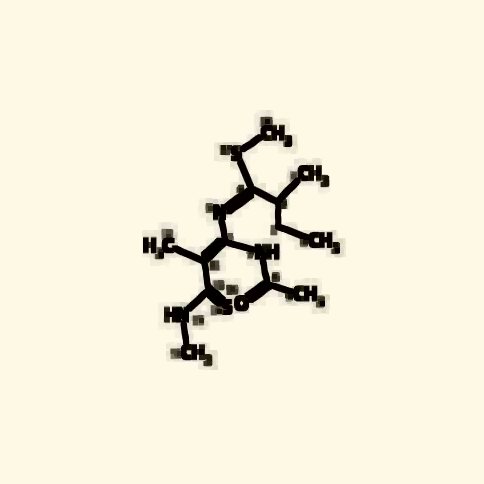 CCC(C)/C(=N\C(NC(C)=O)=C(/C)C(=S)NC)SC